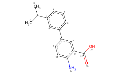 CC(C)c1cccc(-c2ccc(N)c(C(=O)O)c2)c1